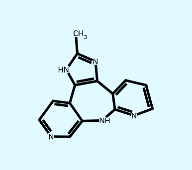 Cc1nc2c([nH]1)-c1ccncc1Nc1ncccc1-2